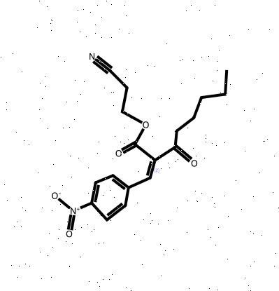 CCCCCC(=O)/C(=C/c1ccc([N+](=O)[O-])cc1)C(=O)OCCC#N